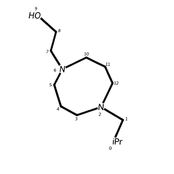 CC(C)CN1CCCN(CCO)CCC1